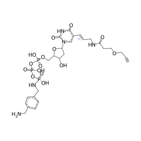 C#CCOCCC(=O)NC/C=C/c1cn(C2CC(O)C(COP(=O)(O)OP(=O)(O)OP(=O)(O)NCc3ccc(CN)cc3)O2)c(=O)[nH]c1=O